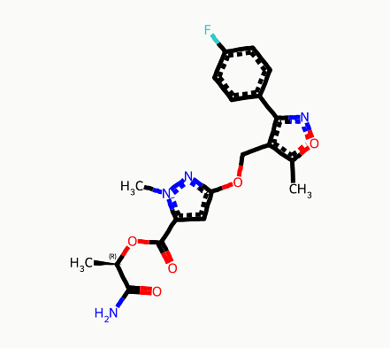 Cc1onc(-c2ccc(F)cc2)c1COc1cc(C(=O)O[C@H](C)C(N)=O)n(C)n1